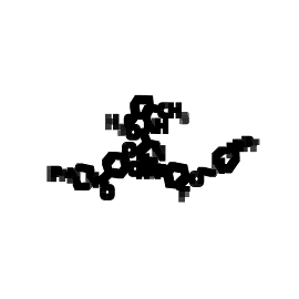 CCCN1CCN(CCOc2ccc(Nc3ncc(C(=O)Nc4c(C)cccc4C)c(Oc4ccc(C(=O)N5CCN(C(C)C)CC5)cc4OC)n3)cc2F)CC1